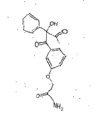 CC(=O)C(O)(C(=O)c1cccc(OCC(N)=O)c1)c1ccccc1